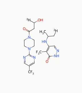 [2H]C(O)CC(=O)N1CCN(c2ncc(C(F)(F)F)cn2)CC1.[2H]CC(C)Nc1cn[nH]c(=O)c1C(F)(F)F